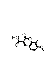 COc1ccc2cc(C(=O)O)c(=O)oc2c1C